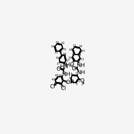 COc1ccccc1NC(=O)Nc1cc2ccccc2cc1O.O=C(Nc1ccc(-c2ccccc2)cc1)Nc1ccc(Cl)c(Cl)c1O